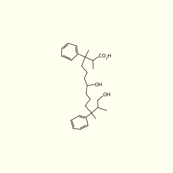 CC(CO)C(C)(CCCC(O)CCCC(C)(c1ccccc1)C(C)C(=O)O)c1ccccc1